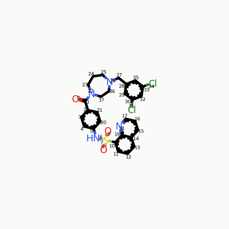 O=C(c1ccc(NS(=O)(=O)c2cccc3cccnc23)cc1)N1CCCN(Cc2cc(Cl)cc(Cl)c2)CC1